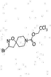 O=C(OCC(Cl)(Cl)Cl)N1CCC2(CC1)CC(Br)=NO2